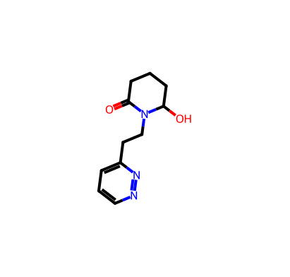 O=C1CCCC(O)N1CCc1cccnn1